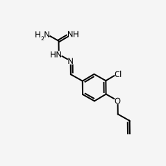 C=CCOc1ccc(C=NNC(=N)N)cc1Cl